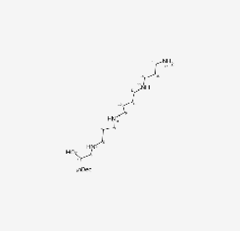 CCCCCCCCCCC(O)CNCCCNCCCCNCCCN